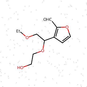 CCOCC(OCCO)c1ccoc1C=O